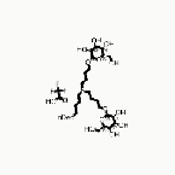 CCCCCCCCCCCCCCN(CCCCO[C@@H]1O[C@H](CO)[C@@H](O)[C@H](O)[C@H]1O)CCCCO[C@@H]1O[C@H](CO)[C@@H](O)[C@H](O)[C@H]1O.O=C(O)C(F)(F)F